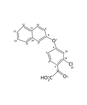 O=C(O)C(=O)c1ccc(Oc2ccc3ccccc3c2)cc1Cl